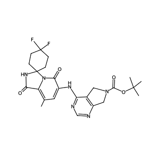 Cc1cc(Nc2ncnc3c2CN(C(=O)OC(C)(C)C)C3)c(=O)n2c1C(=O)NC21CCC(F)(F)CC1